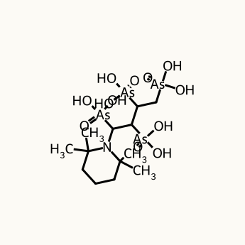 CC1(C)CCCC(C)(C)N1C(C(C(C[As](=O)(O)O)[As](=O)(O)O)[As](=O)(O)O)[As](=O)(O)O